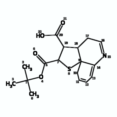 CC(C)(C)OC(=O)C1SC23CC=CC=C2N=CCC3C1C(=O)O